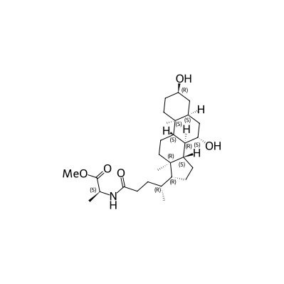 COC(=O)[C@H](C)NC(=O)CC[C@@H](C)[C@H]1CC[C@H]2[C@@H]3[C@@H](O)C[C@@H]4C[C@H](O)CC[C@]4(C)[C@H]3CC[C@]12C